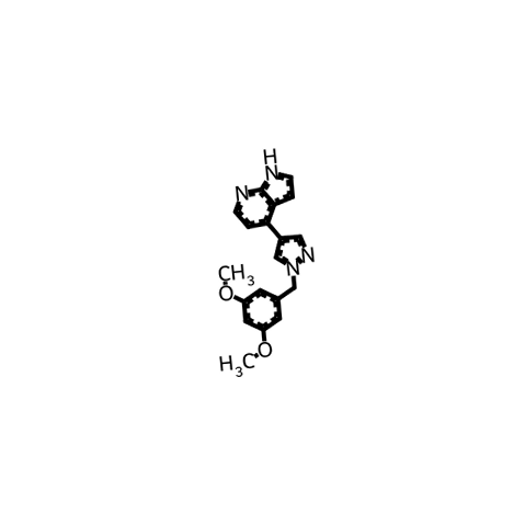 COc1cc(Cn2cc(-c3ccnc4[nH]ccc34)cn2)cc(OC)c1